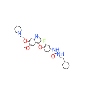 COc1cc2c(Oc3ccc(NC(=O)NCCC4CCCCC4)cc3F)ccnc2cc1OCCN1CCCCC1